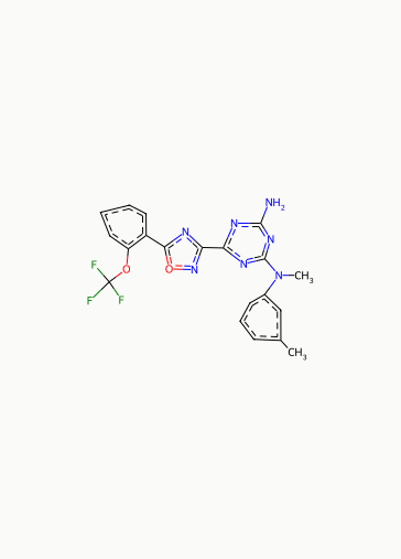 Cc1cccc(N(C)c2nc(N)nc(-c3noc(-c4ccccc4OC(F)(F)F)n3)n2)c1